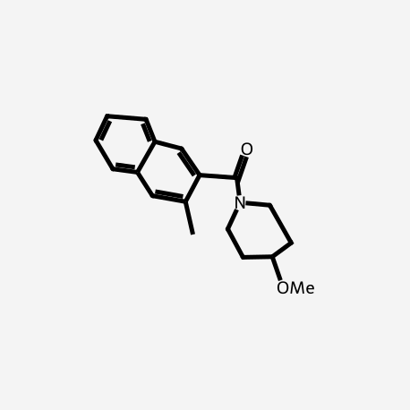 COC1CCN(C(=O)c2cc3ccccc3cc2C)CC1